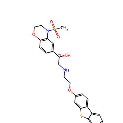 CS(=O)(=O)N1CCOc2ccc([C@@H](O)CNCCOc3ccc4c(c3)sc3ccccc34)cc21